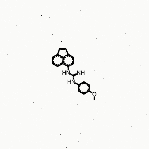 COc1ccc(NC(=N)Nc2ccc3c4c(cccc24)C=C3)cc1